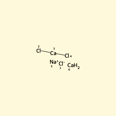 [CaH2].[Cl-].[Cl][Ca][Cl].[Na+]